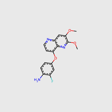 COc1cc2nccc(Oc3ccc(N)c(F)c3)c2nc1OC